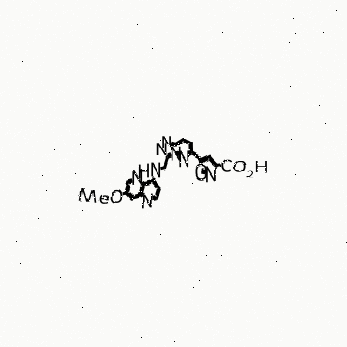 COc1cnc2c(NCc3nnc4ccc(-c5cc(C(=O)O)no5)nn34)ccnc2c1